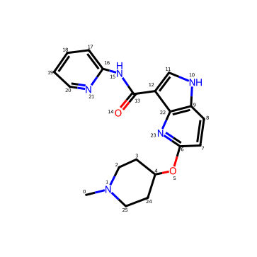 CN1CCC(Oc2ccc3[nH]cc(C(=O)Nc4ccccn4)c3n2)CC1